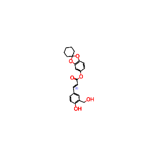 O=C(/C=C/c1ccc(O)c(CO)c1)Oc1ccc2c(c1)OC1(CCCCC1)O2